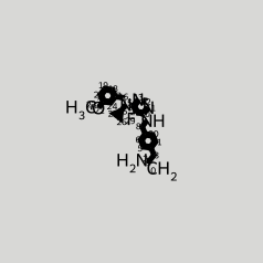 C=C(N)Cc1ccc(CNc2ncnc(N(Cc3cccc(OC)c3)C3CC3)c2F)cc1